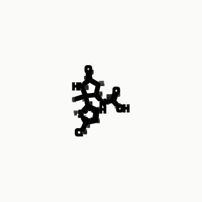 CC1(c2ccc(Cl)s2)NC(=O)CC1NC(=O)O